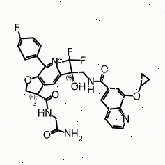 C[C@]1(C(=O)NCC(N)=O)COc2c1cc([C@@](O)(CNC(=O)c1cc(OC3CC3)c3ncccc3c1)C(F)(F)F)nc2-c1ccc(F)cc1